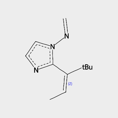 C=Nn1ccnc1/C(=C\C)C(C)(C)C